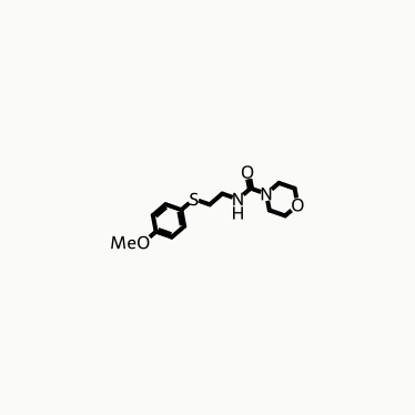 COc1ccc(SCCNC(=O)N2CCOCC2)cc1